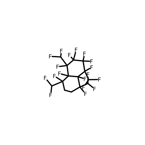 FC(F)C1(F)CCC(F)(C(F)F)C2(F)C(F)(C(F)F)C(F)(F)C(F)(F)C(F)(C(F)F)C12F